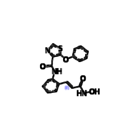 O=C(/C=C/c1ccccc1NC(=O)c1ncsc1Oc1ccccc1)NO